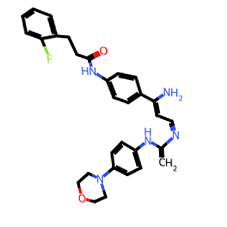 C=C(/N=C\C=C(/N)c1ccc(NC(=O)CCc2ccccc2F)cc1)Nc1ccc(N2CCOCC2)cc1